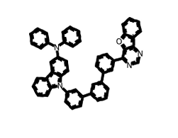 c1ccc(N(c2ccccc2)c2ccc3c(c2)c2ccccc2n3-c2cccc(-c3cccc(-c4cccc(-c5ncnc6c5oc5ccccc56)c4)c3)c2)cc1